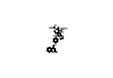 Cc1cc(COc2ccc(NC(=O)C3(Cc4nccs4)CCN(C(=O)O)C(C)[C@@H]3C(=O)NO)cc2)c2ccccc2n1